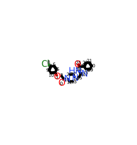 O=C(COc1ccc(Cl)cc1)N1CCN(Cc2nc3ccccc3c(=O)[nH]2)CC1